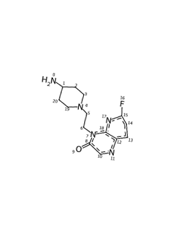 NC1CCN(CCn2c(=O)cnc3ccc(F)nc32)CC1